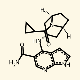 NC(=O)c1cnc2[nH]ccc2c1N[C@@H]1C[C@H]2CC[C@@H](C1)N2C(=O)C1CC1